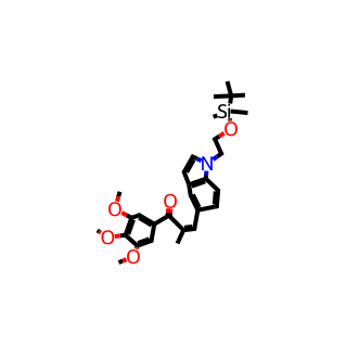 COc1cc(C(=O)C(C)=Cc2ccc3c(ccn3CCO[Si](C)(C)C(C)(C)C)c2)cc(OC)c1OC